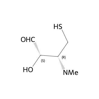 CN[C@@H](CS)[C@H](O)C=O